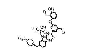 CN1CCN(Cc2ccc3[nH]/c(=N\C(=O)c4cc(C=O)cc(Oc5cccc(O)c5C=O)c4)n(CC(C)(C)O)c3c2)CC1